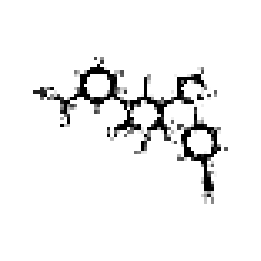 Cc1c(-c2ccnn2-c2ccc(C#N)cc2)c(=O)n(C)c(=O)n1-c1cccc(C(=O)O)c1